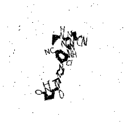 N#Cc1cc(Nc2nc(NC3CC3)c3ncc(C#N)n3n2)c(Cl)c(N2CCN(C3CN(C(=O)C4CCC(=O)N4)C3)CC2)c1